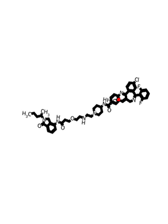 C=N/C=C1/CN=C(c2c(F)cccc2F)c2cc(Cl)ccc2/C1=N/c1ccc(C(=O)NC2CCN(CCNCCOCCC(=O)Nc3cccc4c3CN(C(C)CCC)C4=O)CC2)cc1